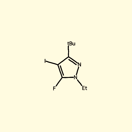 CCn1nc(C(C)(C)C)c(I)c1F